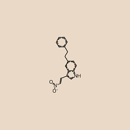 O=[N+]([O-])/C=C/c1c[nH]c2ccc(CCc3ccccc3)cc12